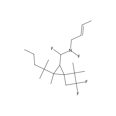 CC=CCN(F)C(F)C1C(C)(C(C)(C)CCC)C12CC(F)(F)C2(C)C